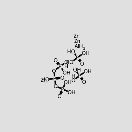 O=P(O)(O)O.O=P(O)(O)O.O=P(O)(O)OP(=O)(O)OP(=O)(O)O.[AlH3].[Zn].[Zn].[Zn]